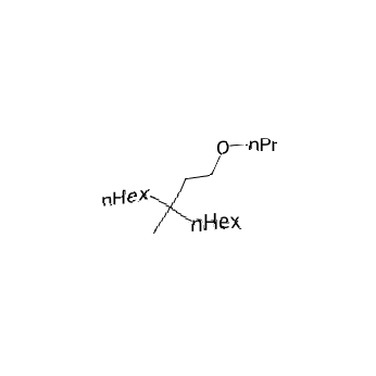 CCCCCCC(C)(CCCCCC)CCOCCC